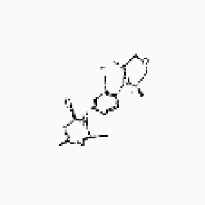 Cc1cc(=O)n(-c2ccc(N3[C@H](C)COC[C@H]3C)c(F)c2)c(C)n1